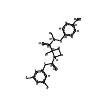 Cc1cc(C)cc(CC(=O)N2CCC2(C)C(=O)N(C)Cc2ccc(C(C)C)cc2)c1